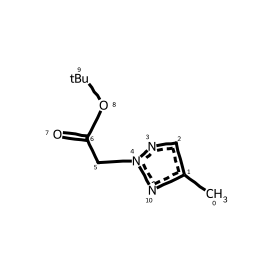 Cc1cnn(CC(=O)OC(C)(C)C)n1